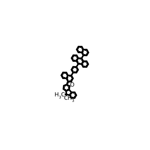 CC1(C)c2ccccc2-c2c1ccc1c2oc2cc(-c3ccc(-c4c5ccccc5c(-c5cccc6ccccc56)c5ccccc45)cc3)c3ccccc3c21